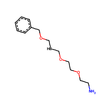 NCCOCCOCBCOCc1ccccc1